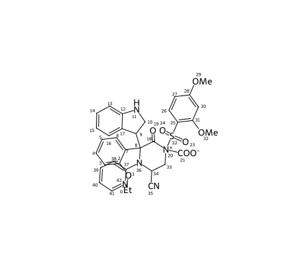 CCOc1ccccc1C1(C2CNc3ccccc32)C(=O)[N+](C(=O)[O-])(S(=O)(=O)c2ccc(OC)cc2OC)CC(C#N)N1c1ccccn1